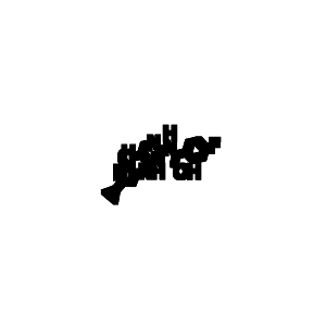 OCC(Nc1ncc(Cl)c(Nc2cc(C3CC3)n[nH]2)n1)c1ccc(F)cc1